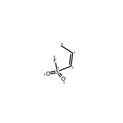 C/C=C\S(=O)(=O)F